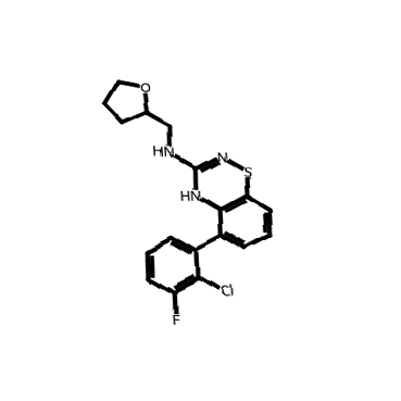 Fc1cccc(-c2cccc3c2NC(NCC2CCCO2)=NS3)c1Cl